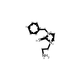 NCCn1ccn(Cc2ccccc2)c1=S